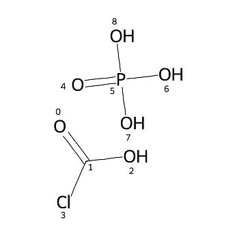 O=C(O)Cl.O=P(O)(O)O